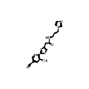 N#Cc1cnc(-c2nc(CC(=O)NCCCn3ccnc3)cs2)c(O)c1